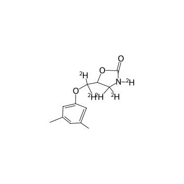 [2H]N1C(=O)OC(C([2H])([2H])Oc2cc(C)cc(C)c2)C1([2H])[2H]